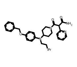 CC(C)CCN(c1ccc(OCc2ccccc2)cc1)C1CCN(C(=O)C(C(N)=O)c2ccccn2)CC1